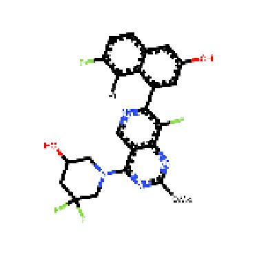 CCc1c(F)ccc2cc(O)cc(-c3ncc4c(N5CC(O)CC(F)(F)C5)nc(OC)nc4c3F)c12